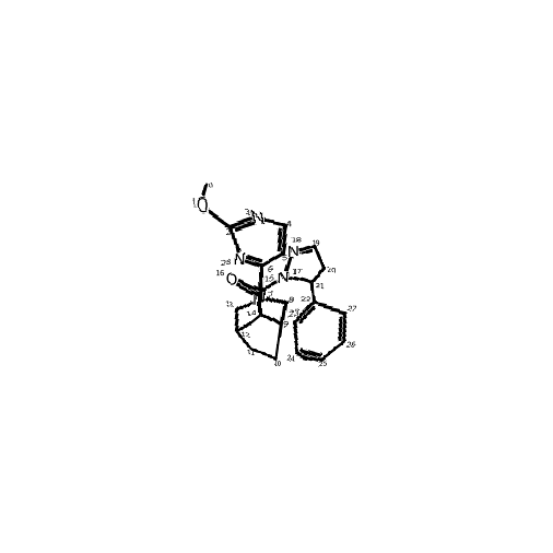 COc1nccc(N2CC3CCC(C2)C3C(=O)N2N=CCC2c2ccccc2)n1